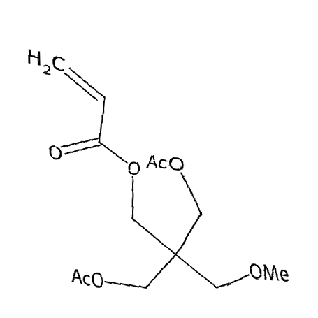 C=CC(=O)OCC(COC)(COC(C)=O)COC(C)=O